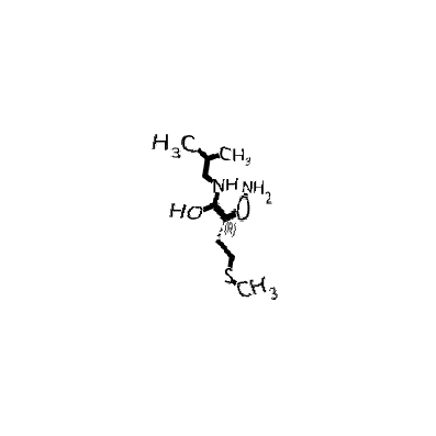 CSCC[C@@H](ON)C(O)NCC(C)C